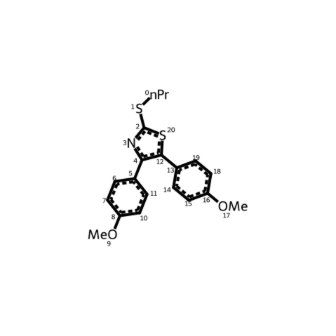 CCCSc1nc(-c2ccc(OC)cc2)c(-c2ccc(OC)cc2)s1